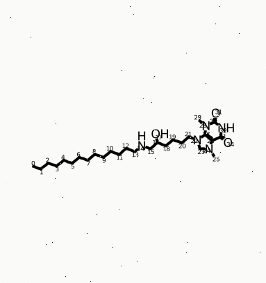 CCCCCCCCCCCCCCNCC(O)CCCCN1CN(C)c2c1n(C)c(=O)[nH]c2=O